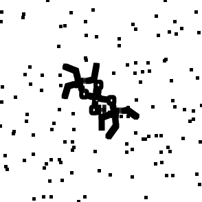 CC[N+](CC)(CC)OP(=O)(O)O[N+](CC)(CC)CC